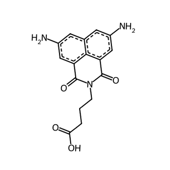 Nc1cc2c3c(cc(N)cc3c1)C(=O)N(CCCC(=O)O)C2=O